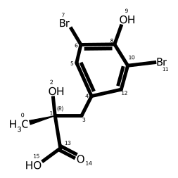 C[C@@](O)(Cc1cc(Br)c(O)c(Br)c1)C(=O)O